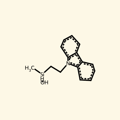 C[SiH](O)CCn1c2ccccc2c2ccccc21